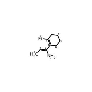 CC=C(N)C1=C(CC)CCCC1